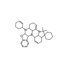 CC1(C)N2C3=CCCC4C3B(C3C=CCC(C32)C12CCCCC2)C1c2ccccc2OC1N4C1C=CCCC1